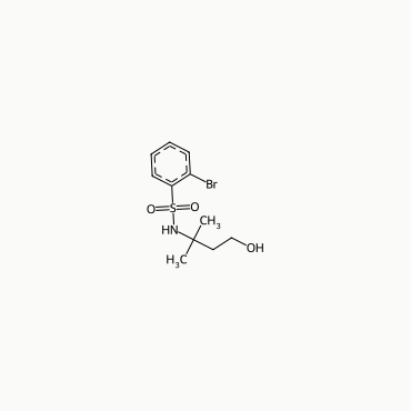 CC(C)(CCO)NS(=O)(=O)c1ccccc1Br